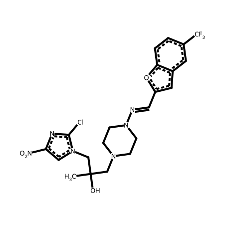 CC(O)(CN1CCN(N=Cc2cc3cc(C(F)(F)F)ccc3o2)CC1)Cn1cc([N+](=O)[O-])nc1Cl